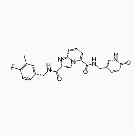 Cc1cc(CNC(=O)c2cn3c(C(=O)NCc4ccc(=O)[nH]c4)cccc3n2)ccc1F